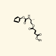 CC(C)OC(=O)/C=C/C(=O)OC[C@@H](C)NC(=O)Oc1ccccc1